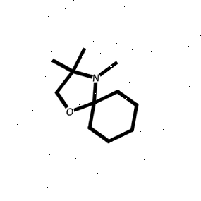 CN1C(C)(C)COC12CCCCC2